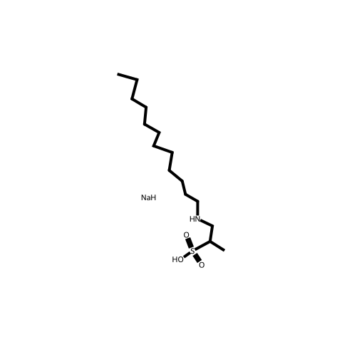 CCCCCCCCCCCCNCC(C)S(=O)(=O)O.[NaH]